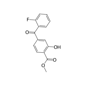 COC(=O)c1ccc(C(=O)c2ccccc2F)cc1O